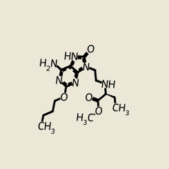 CCCCOc1nc(N)c2[nH]c(=O)n(CCN[C@@H](CC)C(=O)OC)c2n1